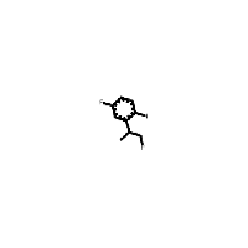 C[C](CF)c1cc(F)ccc1I